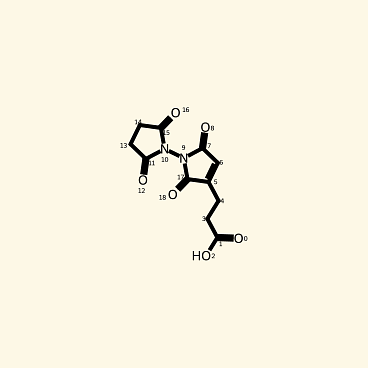 O=C(O)CCC1=CC(=O)N(N2C(=O)CCC2=O)C1=O